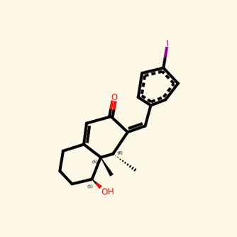 C[C@H]1C(=Cc2ccc(I)cc2)C(=O)C=C2CCC[C@H](O)[C@]21C